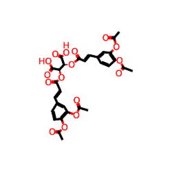 CC(=O)Oc1ccc(/C=C/C(=O)O[C@@H](C(=O)O)[C@@H](OC(=O)/C=C/c2ccc(OC(C)=O)c(OC(C)=O)c2)C(=O)O)cc1OC(C)=O